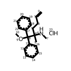 C=CCCC(C)(NC)C(OC)(c1ccccc1)c1ccccc1.Cl